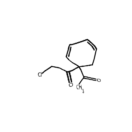 CC(=O)C1(C(=O)CCl)C=CC=CC1